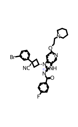 N#C[C@]1(c2cccc(Br)c2)C[C@@H](n2/c(=N/C(=O)c3ccc(F)cc3)[nH]c3cnc(OCCN4CCCCC4)cc32)C1